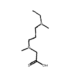 CCN(C)CCCN(C)CC(O)=S